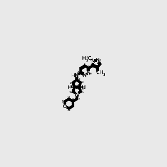 Cc1cnn(C)c1-c1ccc(NC2C[C@@H]3CN(CC4CCOCC4)C[C@@H]3C2)nn1